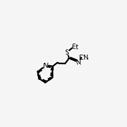 CCSC(CCc1ccccn1)=NC#N